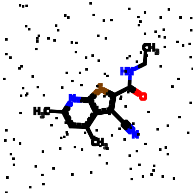 CCNC(=O)c1sc2nc(C)cc(C)c2c1C#N